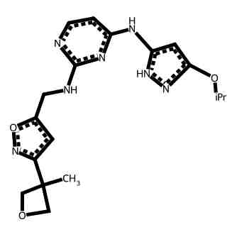 CC(C)Oc1cc(Nc2ccnc(NCc3cc(C4(C)COC4)no3)n2)[nH]n1